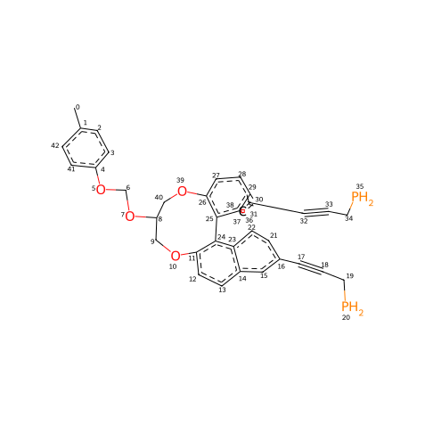 Cc1ccc(OCOC2COc3ccc4cc(C#CCP)ccc4c3-c3c(ccc4cc(C#CCP)ccc34)OC2)cc1